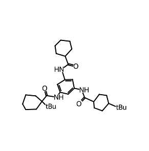 CC(C)(C)C1CCC(C(=O)Nc2cc(NC(=O)C3CCCCC3)cc(NC(=O)C3(C(C)(C)C)CCCCC3)c2)CC1